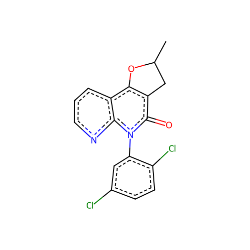 CC1Cc2c(c3cccnc3n(-c3cc(Cl)ccc3Cl)c2=O)O1